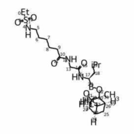 CCS(=O)(=O)NCCCCCC(=O)NCC(=O)N[C@@H](CC(C)C)B1O[C@@H]2C[C@@H]3C[C@@H](C3(C)C)[C@]2(C)O1